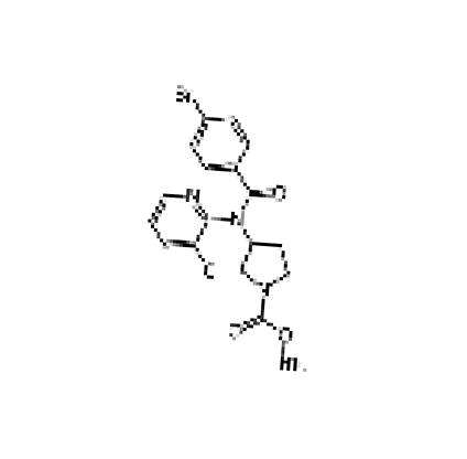 CC(C)(C)OC(=O)N1CCC(N(C(=O)c2ccc(Br)cc2)c2ncccc2Cl)C1